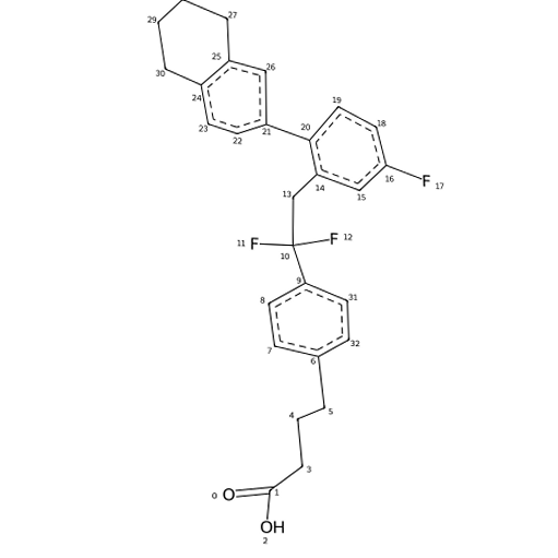 O=C(O)CCCc1ccc(C(F)(F)Cc2cc(F)ccc2-c2ccc3c(c2)CCCC3)cc1